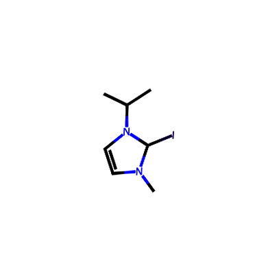 CC(C)N1C=CN(C)C1I